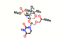 CNC(=O)COC[C@@H](O[C@H](/C=C/P(=O)(OC)OC)CO[Si](C)(C)C(C)(C)C)n1ccc(=O)[nH]c1=O